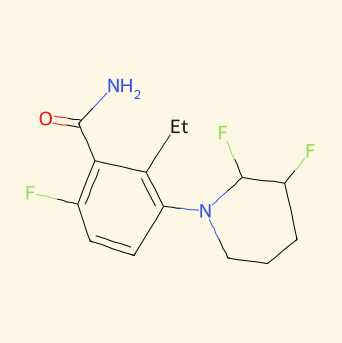 CCc1c(N2CCCC(F)C2F)ccc(F)c1C(N)=O